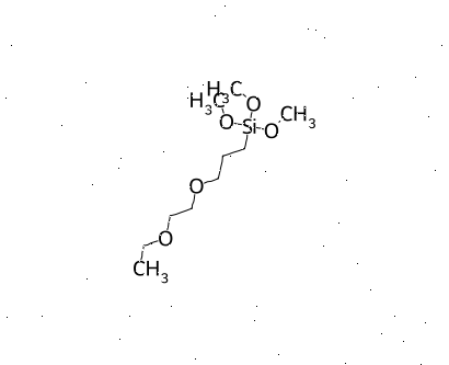 CCOCCOCCC[Si](OC)(OC)OC